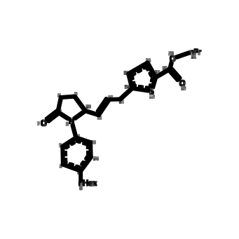 CCCCCCc1ccc(N2C(=O)CCC2C=CCc2ccc(C(=O)OCCC)s2)cc1